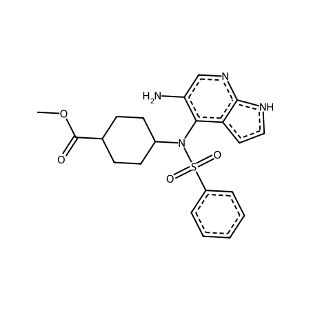 COC(=O)C1CCC(N(c2c(N)cnc3[nH]ccc23)S(=O)(=O)c2ccccc2)CC1